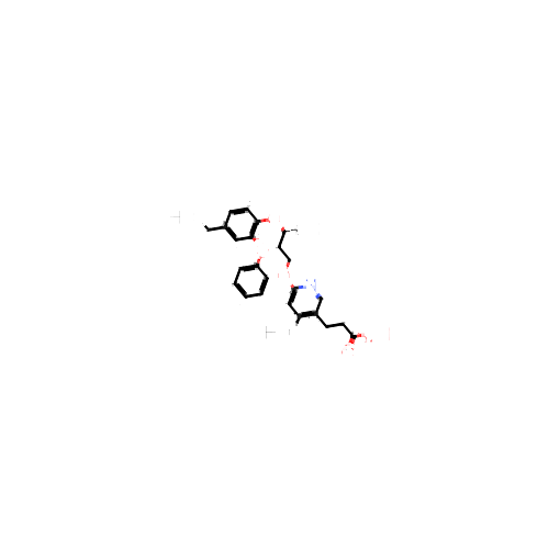 CCc1ccc(O[C@@H](C)CCOc2cc(C)c(CCC(=O)O)cn2)c(Oc2ccccc2)c1